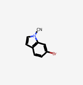 N#Cn1ccc2ccc(Br)cc21